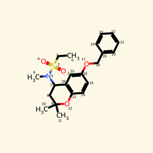 CCS(=O)(=O)N(C)C1CC(C)(C)Oc2ccc(OCc3ccccc3)cc21